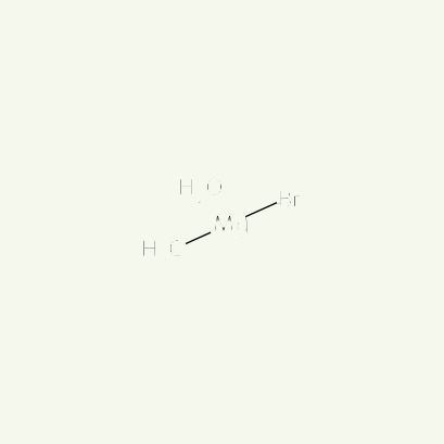 O.[CH3][Mg][Br]